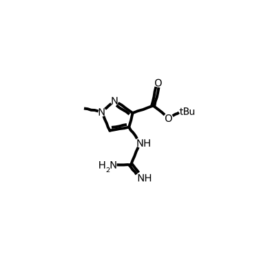 Cn1cc(NC(=N)N)c(C(=O)OC(C)(C)C)n1